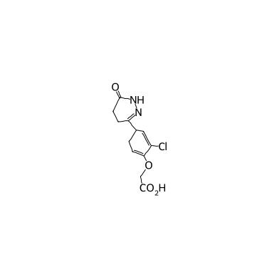 O=C(O)COC1=CCC(C2=NNC(=O)CC2)C=C1Cl